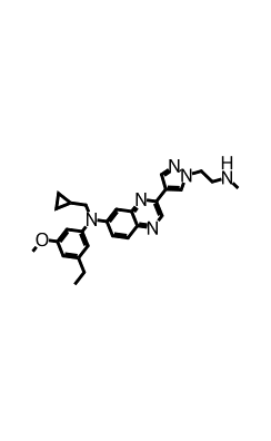 CCc1cc(OC)cc(N(CC2CC2)c2ccc3ncc(-c4cnn(CCNC)c4)nc3c2)c1